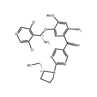 COc1cc(N)c(C(=N)c2cnc(N3CCC[C@@H]3CC#N)nc2)cc1O[C@H](N)c1c(Cl)cncc1Cl